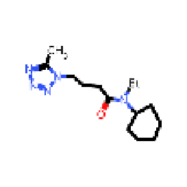 CCN(C(=O)CCCn1nnnc1C)C1CCCCC1